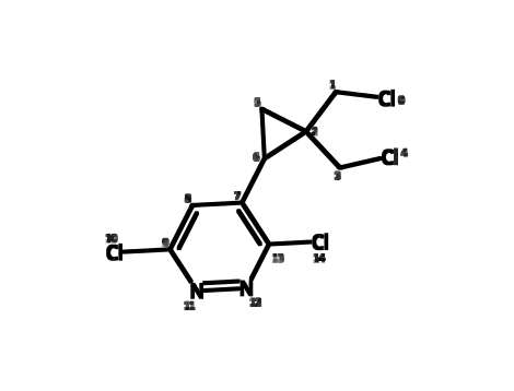 ClCC1(CCl)CC1c1cc(Cl)nnc1Cl